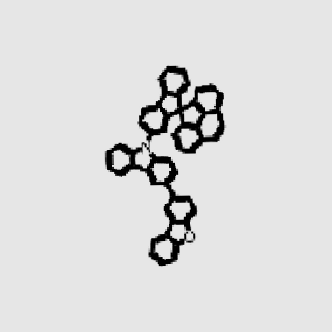 c1ccc2c(c1)-c1ccc(-n3c4ccccc4c4cc(-c5ccc6oc7ccccc7c6c5)ccc43)cc1C21c2cccc3ccc4cccc1c4c23